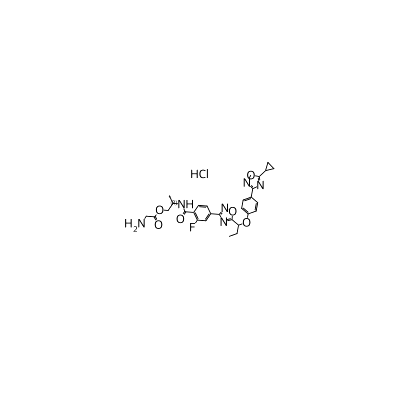 CCC(Oc1ccc(-c2noc(C3CC3)n2)cc1)c1nc(-c2ccc(C(=O)N[C@H](C)COC(=O)CN)c(F)c2)no1.Cl